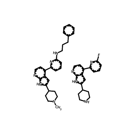 CN1CCC(c2cc3c(-c4cccc(NCCCc5ccccc5)n4)ccnc3[nH]2)CC1.Fc1cccc(-c2ccnc3[nH]c(C4CCNCC4)cc23)n1